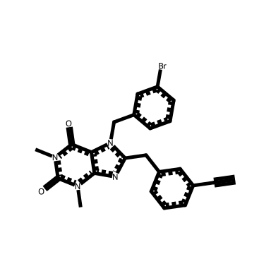 C#Cc1cccc(Cc2nc3c(c(=O)n(C)c(=O)n3C)n2Cc2cccc(Br)c2)c1